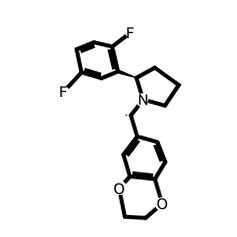 Fc1ccc(F)c([C@H]2CCCN2[CH]c2ccc3c(c2)OCCO3)c1